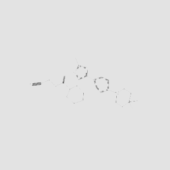 Cc1nc([C@@H]2CC[C@H](F)CC2C(=O)NCC#N)c(-c2ccc(N3CCC(F)(F)CC3)cc2)s1